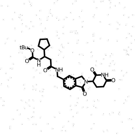 CC(C)(C)OC(=O)NC(CC(=O)NCc1ccc2c(c1)CN(C1CCC(=O)NC1=O)C2=O)C1CCCC1